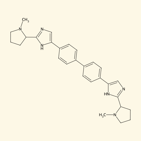 CN1CCCC1c1ncc(-c2ccc(-c3ccc(-c4cnc(C5CCCN5C)[nH]4)cc3)cc2)[nH]1